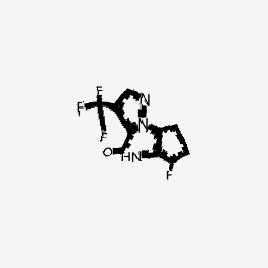 O=c1[nH]c2c(F)cccc2n2ncc(C(F)(F)F)c12